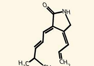 C=C/C=C1/CNC(=O)/C1=C/C=C/C(C)C